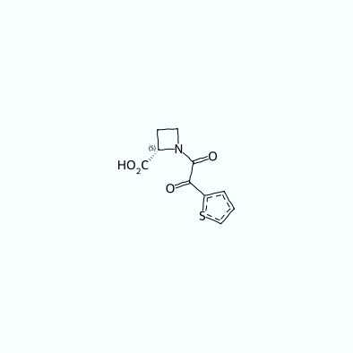 O=C(C(=O)N1CC[C@H]1C(=O)O)c1cccs1